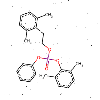 Cc1cccc(C)c1CCOP(=O)(Oc1ccccc1)Oc1c(C)cccc1C